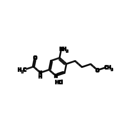 COCCCc1cnc(NC(C)=O)cc1N.Cl